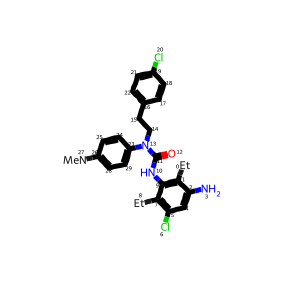 CCc1c(N)cc(Cl)c(CC)c1NC(=O)N(CCc1ccc(Cl)cc1)c1ccc(NC)cc1